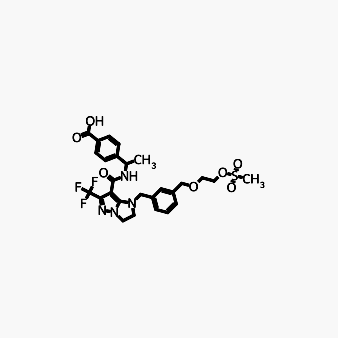 CC(NC(=O)c1c(C(F)(F)F)nn2c1N(Cc1cccc(COCCOS(C)(=O)=O)c1)CC2)c1ccc(C(=O)O)cc1